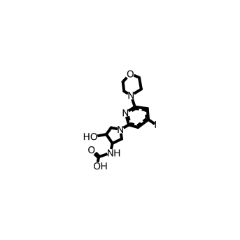 O=C(O)NC1CN(c2cc(I)cc(N3CCOCC3)n2)CC1O